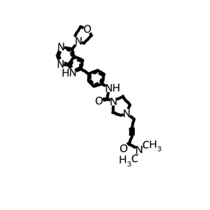 CN(C)C(=O)C#CCN1CCN(C(=O)Nc2ccc(-c3cc4c(N5CCOCC5)ncnc4[nH]3)cc2)CC1